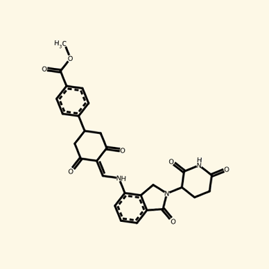 COC(=O)c1ccc(C2CC(=O)C(=CNc3cccc4c3CN(C3CCC(=O)NC3=O)C4=O)C(=O)C2)cc1